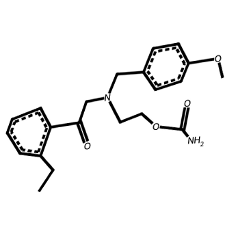 CCc1ccccc1C(=O)CN(CCOC(N)=O)Cc1ccc(OC)cc1